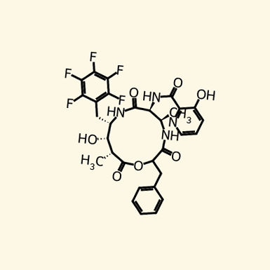 C[C@H]1NC(=O)C(Cc2ccccc2)OC(=O)[C@H](C)[C@H](O)[C@H](Cc2c(F)c(F)c(F)c(F)c2F)NC(=O)[C@H]1NC(=O)c1ncccc1O